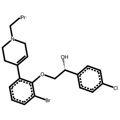 C[C](C)CN1CC=C(c2cccc(Br)c2OC[C@H](O)c2ccc(Cl)cc2)CC1